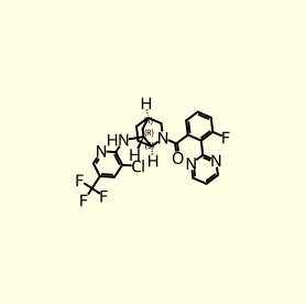 O=C(c1cccc(F)c1-c1ncccn1)N1C[C@@H]2CC[C@H]1[C@H](Nc1ncc(C(F)(F)F)cc1Cl)C2